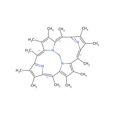 CC1=C(C)/C2=C(\C)c3c(C)c(C)c4n3Cn3/c(c(C)c(C)/c3=C(\C)C3=N/C(=C\4C)C(C)=C3C)=C(/C)C1=N2